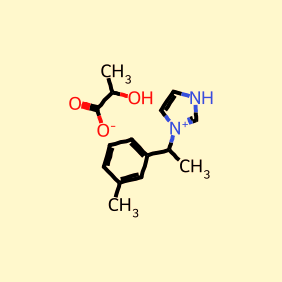 CC(O)C(=O)[O-].Cc1cccc(C(C)[n+]2cc[nH]c2)c1